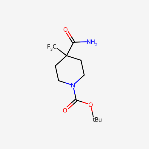 CC(C)(C)OC(=O)N1CCC(C(N)=O)(C(F)(F)F)CC1